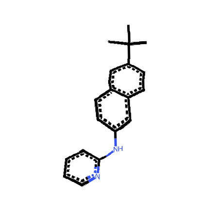 CC(C)(C)c1ccc2cc(Nc3ccccn3)ccc2c1